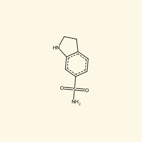 NS(=O)(=O)c1ccc2c(c1)NCC2